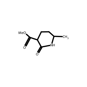 COC(=O)C1CCC(C)NC1=O